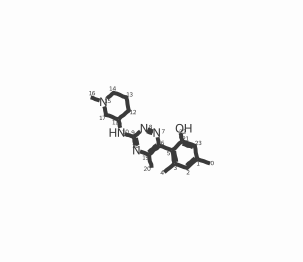 Cc1cc(C)c(-c2nnc(NC3CCCN(C)C3)nc2C)c(O)c1